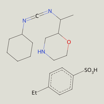 CC(N=C=NC1CCCCC1)C1CNCCO1.CCc1ccc(S(=O)(=O)O)cc1